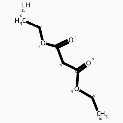 CCOC(=O)CC(=O)OCC.[LiH]